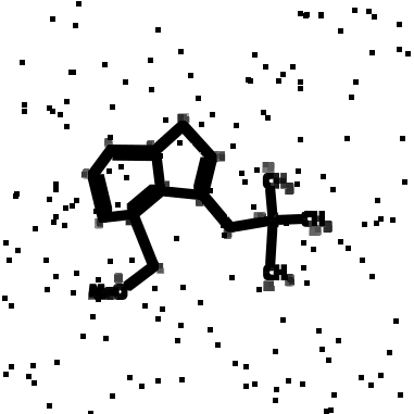 COCc1cccc2c1C(CS(C)(C)C)=CC2